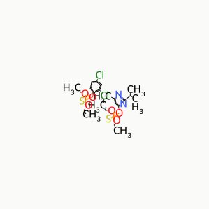 CCOP(=S)(OCC)Oc1cc(C)nc(C(C)C)n1.CCOP(=S)(OCC)Oc1ccc(Cl)cc1Cl